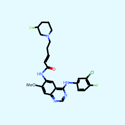 COc1cc2ncnc(Nc3ccc(F)c(Cl)c3)c2cc1NC(=O)C=CCCN1CCCC(F)C1